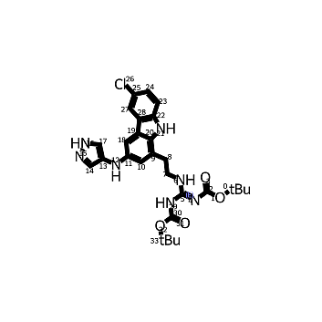 CC(C)(C)OC(=O)/N=C(\NCCc1cc(Nc2cn[nH]c2)cc2c1[nH]c1ccc(Cl)cc12)NC(=O)OC(C)(C)C